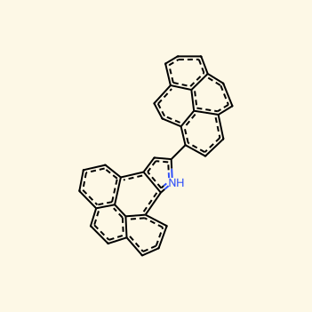 c1cc2ccc3ccc(-c4cc5c6cccc7ccc8cccc(c5[nH]4)c8c76)c4ccc(c1)c2c34